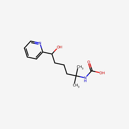 CC(C)(CCCC(O)c1ccccn1)NC(=O)O